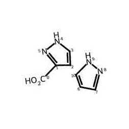 O=C(O)c1cc[nH]n1.c1cn[nH]c1